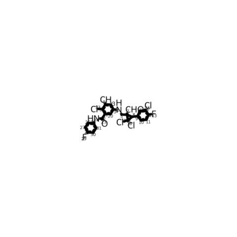 Cc1cc(NCC2(C=O)C(c3ccc(F)c(Cl)c3)C2(Cl)Cl)cc(C(=O)Nc2ccc(F)cc2)c1Cl